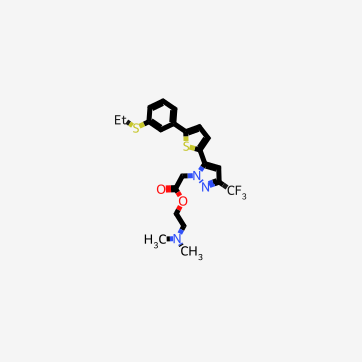 CCSc1cccc(-c2ccc(-c3cc(C(F)(F)F)nn3CC(=O)OCCN(C)C)s2)c1